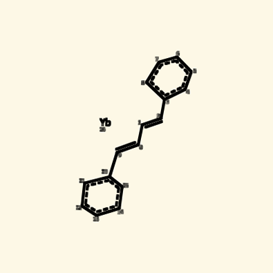 C(C=Cc1ccccc1)=Cc1ccccc1.[Yb]